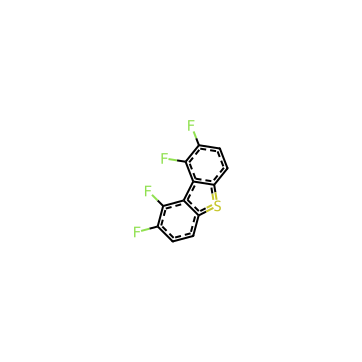 Fc1ccc2sc3ccc(F)c(F)c3c2c1F